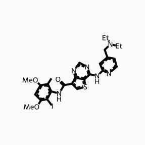 CCN(CC)Cc1ccnc(Nc2ncnc3c(C(=O)Nc4c(C)c(OC)cc(OC)c4I)csc23)c1